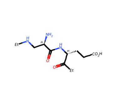 CCNC[C@@H](N)C(=O)N[C@H](CCC(=O)O)C(=O)CC